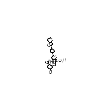 CP(=O)(Nc1cc(-c2ccc(-c3cc4ncccc4o3)cc2)sc1C(=O)O)c1ccc(Cl)cc1Cl